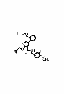 COCc1ccccc1-c1cnc(OCC2CC2)c(C(=O)NCc2ccc(OC)c(F)c2)c1